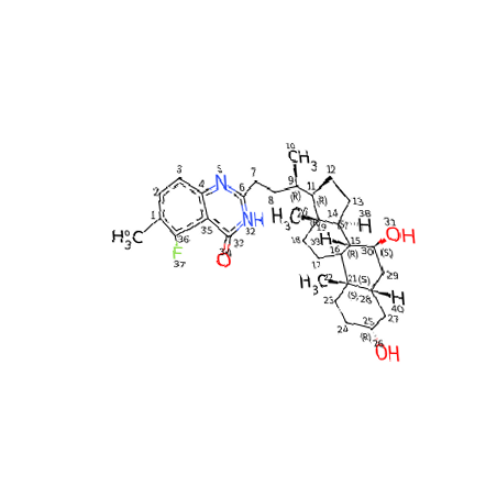 Cc1ccc2nc(CC[C@@H](C)[C@H]3CC[C@H]4[C@H]5C(CC[C@]34C)[C@@]3(C)CC[C@@H](O)C[C@H]3C[C@@H]5O)[nH]c(=O)c2c1F